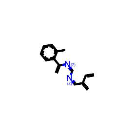 C=CC(=C)/C=N\C=N/C(=C)c1ccccc1C